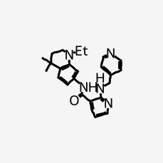 CCN1CCC(C)(C)c2ccc(NC(=O)c3cccnc3NCc3ccncc3)cc21